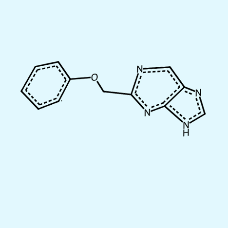 [c]1ccccc1OCc1ncc2nc[nH]c2n1